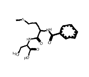 CSCCC(NC(=O)c1ccccc1)C(=O)NC(CO)C(=O)O